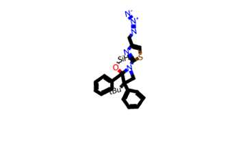 CC(C)(C)C1(c2ccccc2)CN(c2nc(CN=[N+]=[N-])cs2)C1(O[SiH3])c1ccccc1